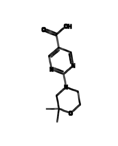 CC1(C)CN(c2ncc(C(=O)O)cn2)CCO1